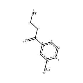 CC(C)CCC(=O)c1ccnc(C(C)(C)C)c1